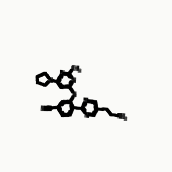 Cc1nc(Sc2cc(C#N)ccc2-c2ncc(CCN)cn2)cc(N2CCCC2)n1